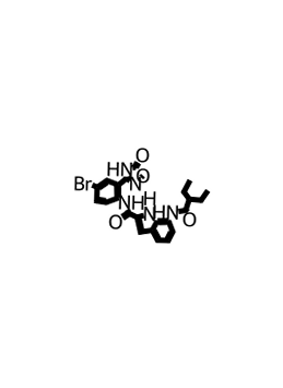 CCC(CC)C(=O)Nc1cccc2cc(C(=O)Nc3ccc(Br)cc3-c3noc(=O)[nH]3)[nH]c12